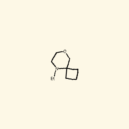 CCN1CCOCC12CCC2